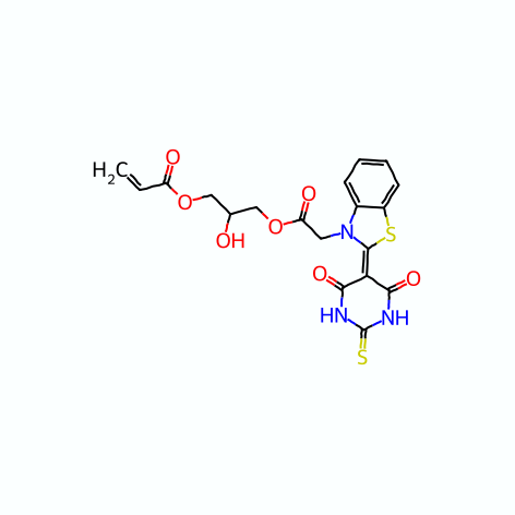 C=CC(=O)OCC(O)COC(=O)CN1C(=C2C(=O)NC(=S)NC2=O)Sc2ccccc21